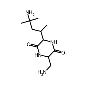 CC(CC(C)(C)N)C1NC(=O)C(CN)NC1=O